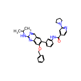 CC(C)Nc1ncc2cc(-c3cccc(NC(=O)c4ccnc(N5CCCC5)c4)c3)c(OCc3ccccc3)cc2n1